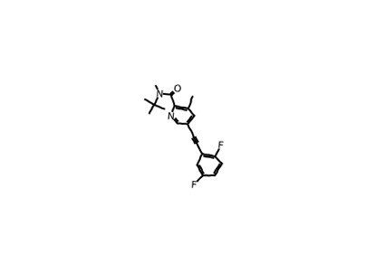 Cc1cc(C#Cc2cc(F)ccc2F)cnc1C(=O)N(C)C(C)(C)C